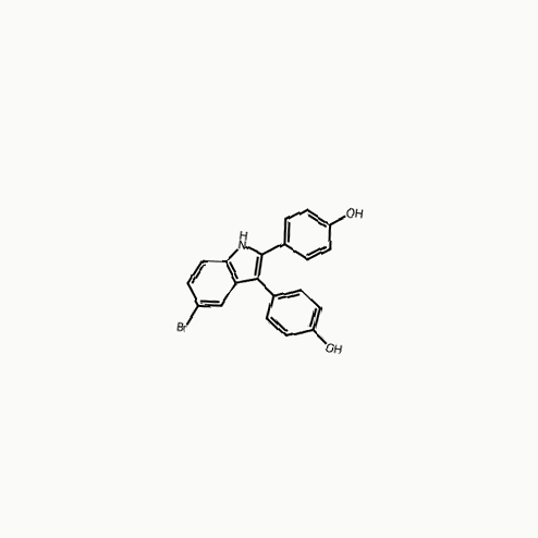 Oc1ccc(-c2[nH]c3ccc(Br)cc3c2-c2ccc(O)cc2)cc1